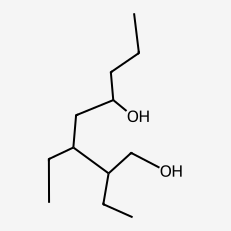 CCCC(O)CC(CC)C(CC)CO